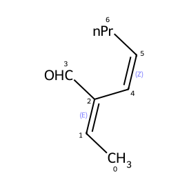 C/C=C(C=O)\C=C/CCC